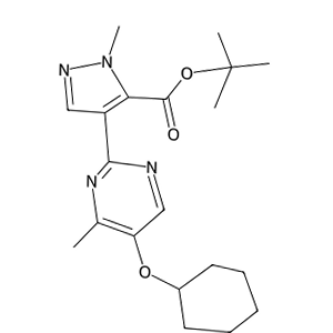 Cc1nc(-c2cnn(C)c2C(=O)OC(C)(C)C)ncc1OC1CCCCC1